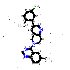 Cc1ccc2ncnc(N3CCc4ncc(-c5cc(F)ccc5C)cc4C3)c2c1